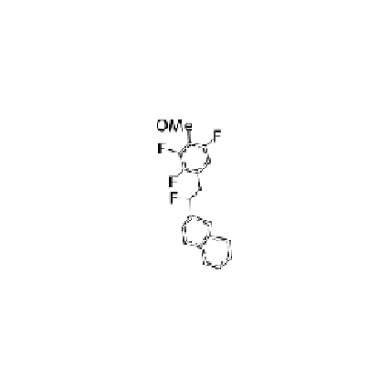 COc1c(F)cc(CC(F)c2ccc3ccccc3c2)c(F)c1F